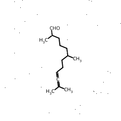 CC(C)=C=CCCC(C)CCCC(C)C=O